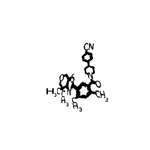 Cc1cc(C)c(-c2nc3c(s2)COCC3(C)C)cc1C(=O)N1CCC(c2ccc(C#N)cc2)CC1